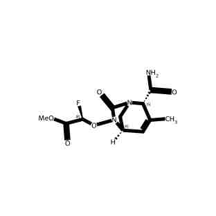 COC(=O)[C@@H](F)ON1C(=O)N2C[C@H]1C=C(C)[C@H]2C(N)=O